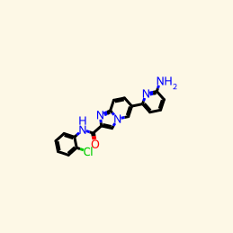 Nc1cccc(-c2ccc3nc(C(=O)Nc4ccccc4Cl)cn3c2)n1